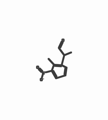 Cc1c(C(C)C=O)cccc1[N+](=O)[O-]